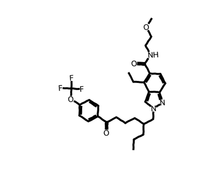 CCCC(CCCC(=O)c1ccc(OC(F)(F)F)cc1)Cn1cc2c(CC)c(C(=O)NCCOC)ccc2n1